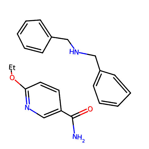 CCOc1ccc(C(N)=O)cn1.c1ccc(CNCc2ccccc2)cc1